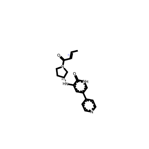 C/C=C/C(=O)N1CC[C@@H](Nc2cc(-c3ccncc3)c[nH]c2=O)C1